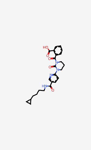 O=C(NCCCCC1CC1)c1ccc(N2CCCN(C(=O)c3ccccc3C(=O)O)C2=O)nc1